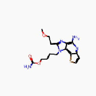 COCCc1nc2c(N)nc3ccsc3c2n1CCCCOC(N)=O